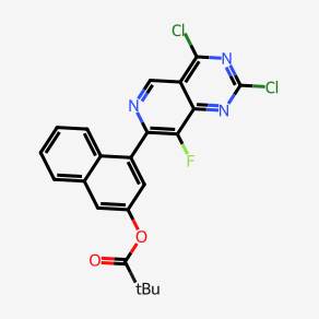 CC(C)(C)C(=O)Oc1cc(-c2ncc3c(Cl)nc(Cl)nc3c2F)c2ccccc2c1